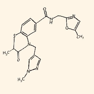 Cc1cnc(CNC(=O)c2ccc3c(c2)N(Cc2cnn(C)c2)C(=O)C(C)S3)o1